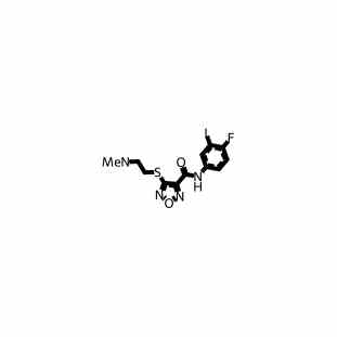 CNCCSc1nonc1C(=O)Nc1ccc(F)c(I)c1